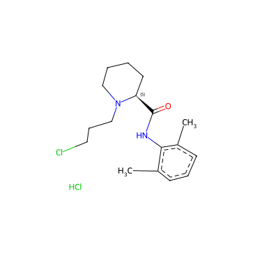 Cc1cccc(C)c1NC(=O)[C@@H]1CCCCN1CCCCl.Cl